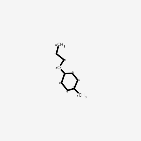 CCCOC1CC[C](C)CC1